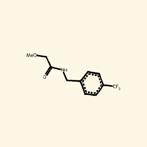 COCC(=O)NCc1ccc(C(F)(F)F)cc1